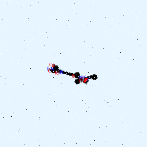 O=C(NC(c1ccccc1)c1cccc(OCCCCCCCNC[C@@H](O)c2ccc(O)c3[nH]c(=O)ccc23)c1)O[C@H]1C[N+]2(CCCc3ccccc3)CCC1CC2